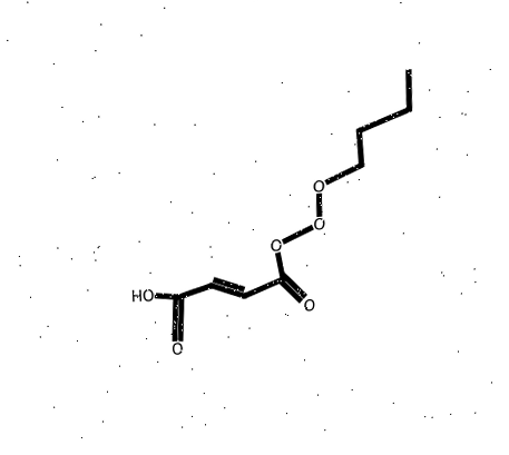 CCCCOOOC(=O)/C=C/C(=O)O